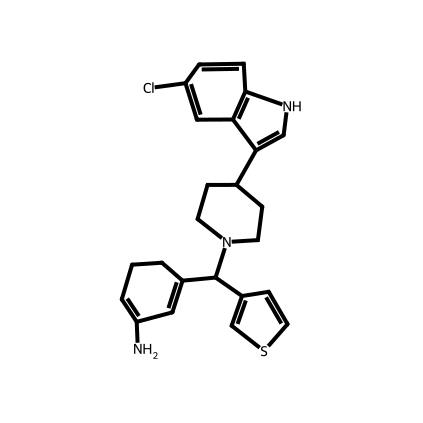 NC1=CCCC(C(c2ccsc2)N2CCC(c3c[nH]c4ccc(Cl)cc34)CC2)=C1